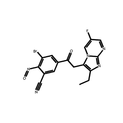 CCc1nc2ncc(F)cn2c1CC(=O)c1cc(Br)c(N=O)c(C#N)c1